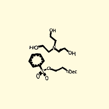 CCCCCCCCCCCCOS(=O)(=O)c1ccccc1.OCCN(CCO)CCO